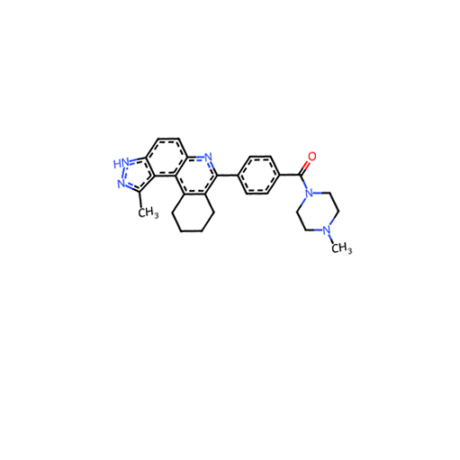 Cc1n[nH]c2ccc3nc(-c4ccc(C(=O)N5CCN(C)CC5)cc4)c4c(c3c12)CCCC4